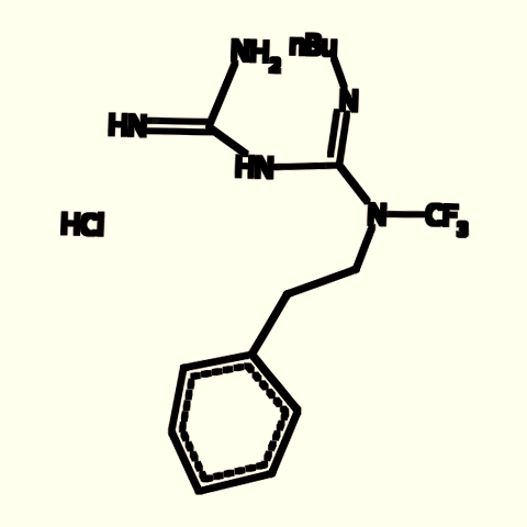 CCCCN=C(NC(=N)N)N(CCc1ccccc1)C(F)(F)F.Cl